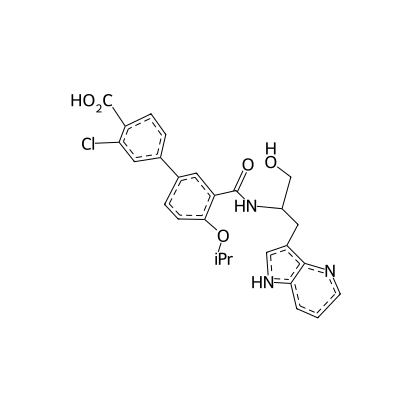 CC(C)Oc1ccc(-c2ccc(C(=O)O)c(Cl)c2)cc1C(=O)NC(CO)Cc1c[nH]c2cccnc12